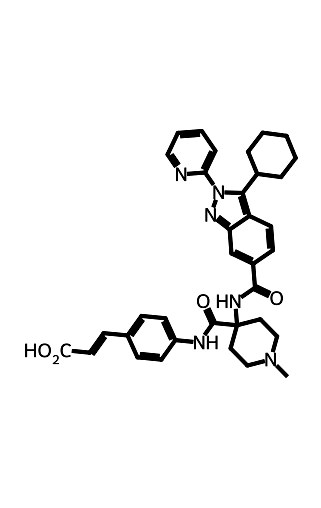 CN1CCC(NC(=O)c2ccc3c(C4CCCCC4)n(-c4ccccn4)nc3c2)(C(=O)Nc2ccc(C=CC(=O)O)cc2)CC1